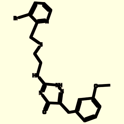 COc1cccc(Cc2n[nH]c(NCCSCc3ncccc3Br)nc2=O)c1